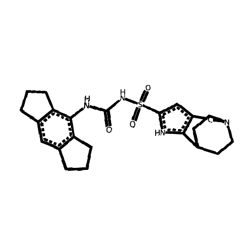 O=C(Nc1c2c(cc3c1CCC3)CCC2)NS(=O)(=O)c1cc2c([nH]1)C1CCN(CC1)C2